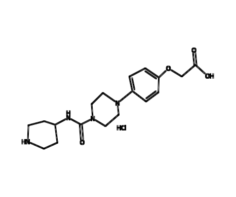 Cl.O=C(O)COc1ccc(N2CCN(C(=O)NC3CCNCC3)CC2)cc1